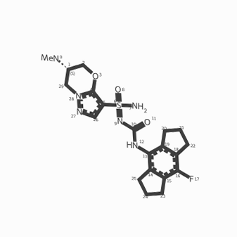 CN[C@@H]1COc2c(S(N)(=O)=NC(=O)Nc3c4c(c(F)c5c3CCC5)CCC4)cnn2C1